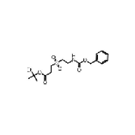 CCC(C)(C)OC(=O)CCS(=O)(=O)CCNC(=O)OCc1ccccc1